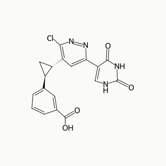 O=C(O)c1cccc([C@H]2C[C@@H]2c2cc(-c3c[nH]c(=O)[nH]c3=O)nnc2Cl)c1